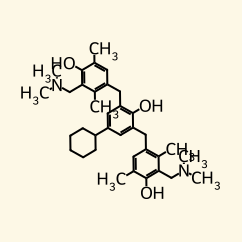 Cc1cc(Cc2cc(C3CCCCC3)cc(Cc3cc(C)c(O)c(CN(C)C)c3C)c2O)c(C)c(CN(C)C)c1O